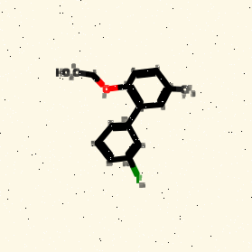 O=C(O)COc1ccc(C(F)(F)F)cc1-c1cccc(F)c1